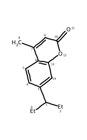 CCC(CC)c1ccc2c(C)cc(=O)oc2c1